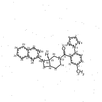 Cc1ccc(-n2nccn2)c(C(=O)N2CCC3CN(c4ncc5ccccc5n4)[C@@H]3C2)c1